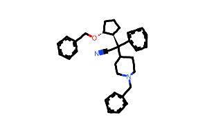 N#CC(c1ccccc1)(C1CCN(Cc2ccccc2)CC1)[C@@H]1CCC[C@H]1OCc1ccccc1